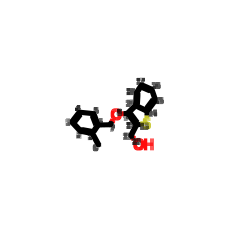 Cc1ccccc1COc1c(CO)sc2ccccc12